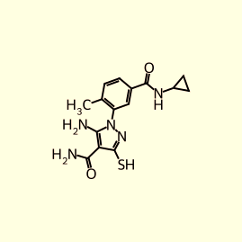 Cc1ccc(C(=O)NC2CC2)cc1-n1nc(S)c(C(N)=O)c1N